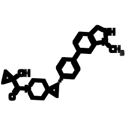 CN1NCc2ccc(-c3ccc([C@@H]4CC45CCN(C(=O)C4(O)CC4)CC5)cc3)cc21